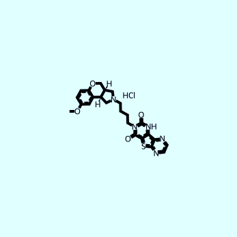 COc1ccc2c(c1)[C@@H]1CN(CCCCn3c(=O)[nH]c4c(sc5nccnc54)c3=O)C[C@@H]1CO2.Cl